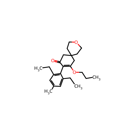 CCCOC1=C(c2c(CC)cc(C)cc2CC)C(=O)CC2(CCOCC2)C1